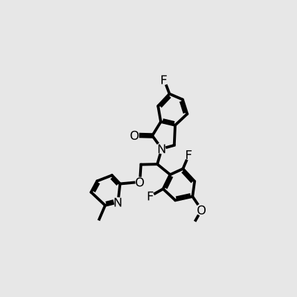 COc1cc(F)c(C(COc2cccc(C)n2)N2Cc3ccc(F)cc3C2=O)c(F)c1